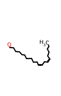 CCCCC/C=C\C/C=C\CCCCCCCCCC=O